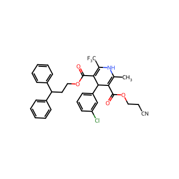 CC1=C(C(=O)OCCC#N)C(c2cccc(Cl)c2)C(C(=O)OCCC(c2ccccc2)c2ccccc2)=C(C(F)(F)F)N1